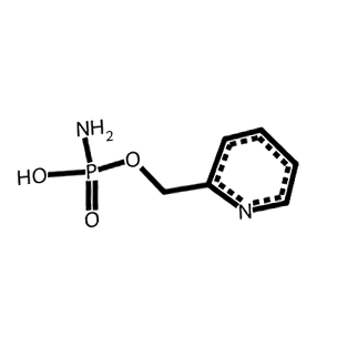 NP(=O)(O)OCc1ccccn1